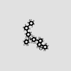 c1ccc(-c2cccc(-c3ccc(N(c4ccccc4)c4ccc(-c5cccc6c5ccc5oc7ccccc7c56)cc4)cc3)c2)cc1